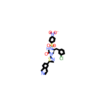 CC(=O)N(C[C@H](Cc1cccc(Cl)c1)NS(=O)(=O)c1ccc([N+](=O)[O-])cc1)c1ncc(-c2ccc3cnccc3c2)s1